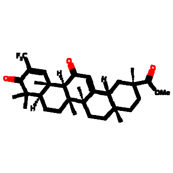 COC(=O)[C@@]1(C)CC[C@]2(C)CC[C@]3(C)C(=CC(=O)[C@@H]4[C@@]5(C)C=C(C(F)(F)F)C(=O)C(C)(C)[C@@H]5CC[C@]43C)[C@@H]2C1